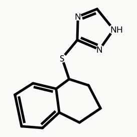 c1ccc2c(c1)CCCC2Sc1nc[nH]n1